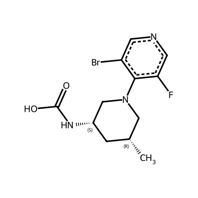 C[C@@H]1C[C@H](NC(=O)O)CN(c2c(F)cncc2Br)C1